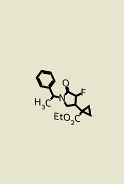 CCOC(=O)C1(C2CN(C(C)c3ccccc3)C(=O)C2F)CC1